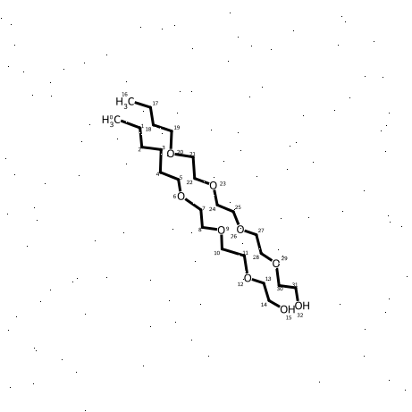 CCCCCCOCCOCCOCCO.CCCCOCCOCCOCCOCCO